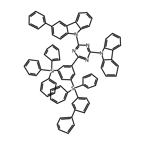 c1ccc(-c2cccc([Si](c3ccccc3)(c3ccccc3)c3cc(-c4nc(-n5c6ccccc6c6ccccc65)nc(-n5c6ccccc6c6cc(-c7ccccc7)ccc65)n4)cc([Si](c4ccccc4)(c4ccccc4)c4ccccc4)c3)c2)cc1